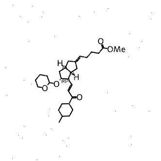 COC(=O)CCCC=C1C[C@@H]2C[C@@H](OC3CCCCO3)[C@H](C=CC(=O)C3CCC(C)CC3)[C@H]2C1